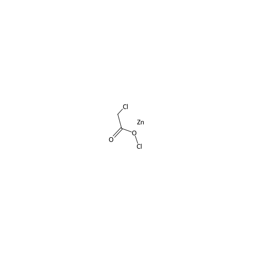 O=C(CCl)OCl.[Zn]